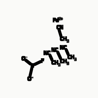 CC#N.CC#N.CC#N.CC#N.[O-]B([O-])F.[Pd+2]